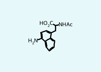 CC(=O)NC(Cc1ccc(N)c2ccccc12)C(=O)O